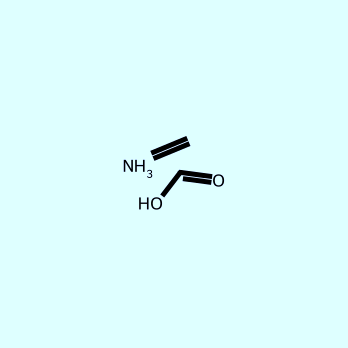 C=C.N.O=CO